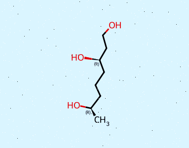 C[C@@H](O)CCC[C@@H](O)CCO